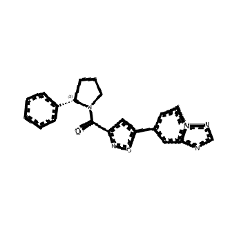 O=C(c1cc(-c2ccn3ncnc3c2)on1)N1CCC[C@H]1c1ccccc1